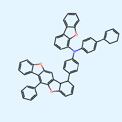 C1=CCCC(c2ccc(N(c3ccc(C4C=CC=C5Oc6c(cc7oc8ccccc8c7c6-c6ccccc6)C54)cc3)c3cccc4c3oc3ccccc34)cc2)=C1